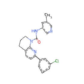 Cc1cncc(NC(=O)N2CCCc3ccc(-c4cccc(Cl)c4)nc32)c1